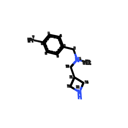 CCN(Cc1ccc(C(C)C)cc1)CC1CNC1